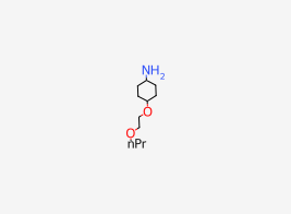 CCCOCCOC1CCC(N)CC1